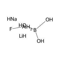 OB(O)O.[F][AlH2].[LiH].[NaH]